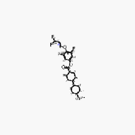 CCCC1CCC(C2CCC(C(=O)Oc3cc(F)c(O/C=C/C(F)F)c(F)c3)CC2)CC1